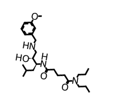 CCCN(CCC)C(=O)CCCC(=O)N[C@@H](CC(C)C)[C@H](O)CNCc1cccc(OC)c1